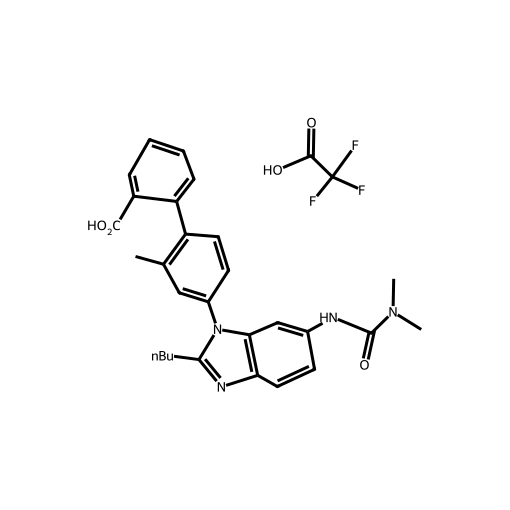 CCCCc1nc2ccc(NC(=O)N(C)C)cc2n1-c1ccc(-c2ccccc2C(=O)O)c(C)c1.O=C(O)C(F)(F)F